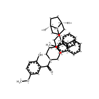 COc1ccc(O)c(C(=O)N2CCC(CCN3[C@@H]4CC[C@H]3CC(n3c(C)nc5ccccc53)C4)(c3ccccc3)CC2)c1